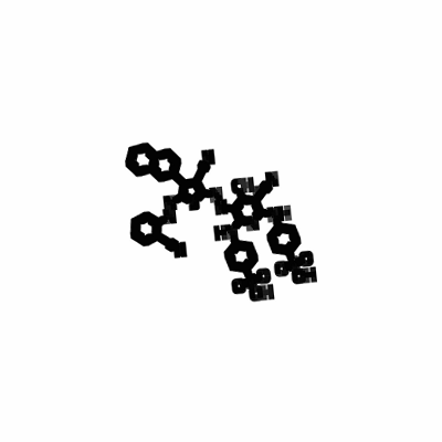 Cc1c(C#N)c(Nc2ccc(S(=O)(=O)O)cc2)nc(Nc2ccc(S(=O)(=O)O)cc2)c1N=Nc1sc(N=Nc2ccccc2C#N)c(-c2ccc3ccccc3c2)c1C#N